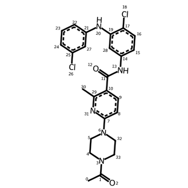 CC(=O)N1CCN(c2ccc(C(=O)Nc3ccc(Cl)c(Nc4cccc(Cl)c4)c3)c(C)n2)CC1